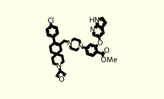 COC(=O)c1ccc(N2CCN(CC3=C(c4ccc(Cl)cc4)CCC4(CCN(C5COC5)CC4)C3)CC2)cc1Oc1cnc2[nH]ccc2c1